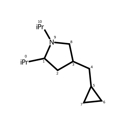 CC(C)C1CC(CC2CC2)CN1C(C)C